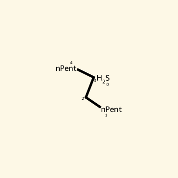 S.[CH2]CCCCCCCCCCC